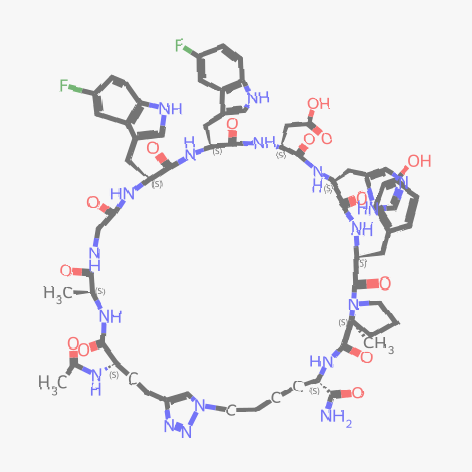 CC(=O)N[C@H]1CCc2cn(nn2)CCCC[C@@H](C(N)=O)NC(=O)[C@]2(C)CCCN2C(=O)[C@H](Cc2ccc(O)cc2)NC(=O)[C@H](Cc2cnc[nH]2)NC(=O)[C@H](CC(=O)O)NC(=O)[C@H](Cc2c[nH]c3ccc(F)cc23)NC(=O)[C@H](Cc2c[nH]c3ccc(F)cc23)NC(=O)CNC(=O)[C@H](C)NC1=O